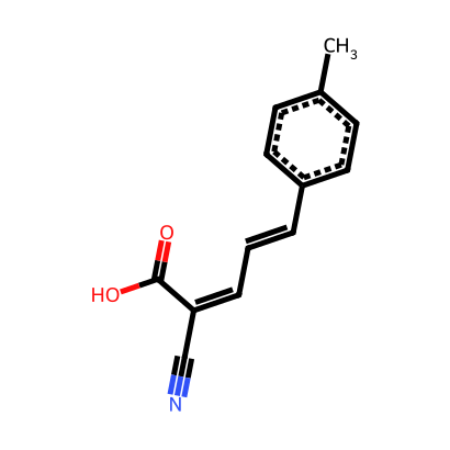 Cc1ccc(C=CC=C(C#N)C(=O)O)cc1